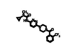 CN(C(=O)Nc1ccc(N2CCN(C(=O)c3ccccc3C(F)(F)F)CC2)nn1)C1CC1